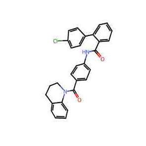 O=C(Nc1ccc(C(=O)N2CCCc3ccccc32)cc1)c1ccccc1-c1ccc(Cl)cc1